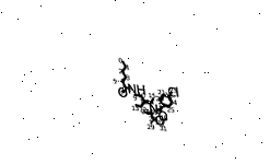 CCCC[C@@H](C)C(=O)NCC/C(CC)=C(\C)N(C(=O)c1ccc(Cl)cc1)C(C)[C@H](C)OC